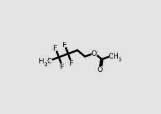 CC(=O)OCCC(F)(F)C(C)(F)F